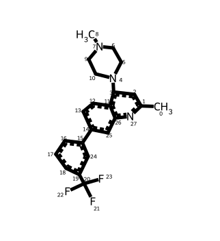 Cc1cc(N2CCN(C)CC2)c2ccc(-c3cccc(C(F)(F)F)c3)cc2n1